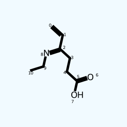 C=CC(CCC(=O)O)=NCC